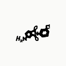 Nc1ccc2c(c1)C(=O)N(c1cccc(Cl)c1)C2=O